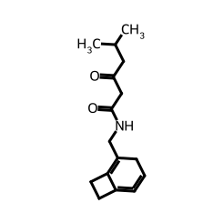 CC(C)CC(=O)CC(=O)NCC1=C2CCC2=C=CC1